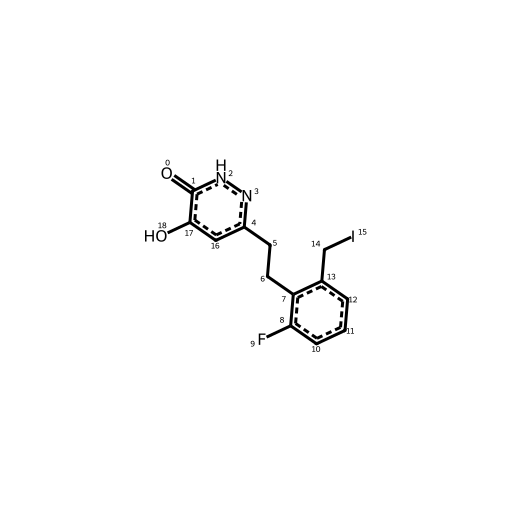 O=c1[nH]nc(CCc2c(F)cccc2CI)cc1O